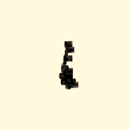 CSC1O[C@H]([C@H](NC(=O)[C@@H]2CC[C@H](CCCNCCCNCC(F)(F)F)CCN2)[C@H](C)Cl)C(O)C2O[C@]12O